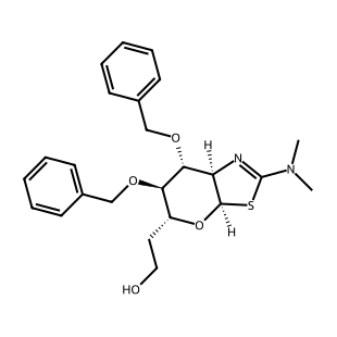 CN(C)C1=N[C@@H]2[C@@H](OCc3ccccc3)[C@H](OCc3ccccc3)[C@@H](CCO)O[C@@H]2S1